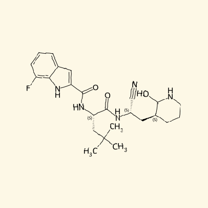 CC(C)(C)C[C@H](NC(=O)c1cc2cccc(F)c2[nH]1)C(=O)N[C@H](C#N)C[C@@H]1CCCNC1O